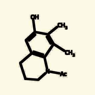 CC(=O)N1CCCc2cc(O)c(C)c(C)c21